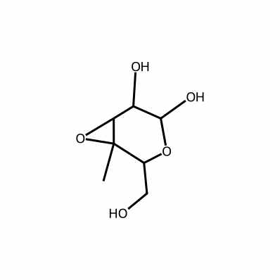 CC12OC1C(O)C(O)OC2CO